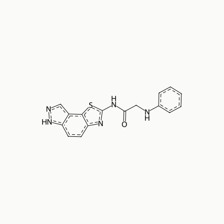 O=C(CNc1ccccc1)Nc1nc2ccc3[nH]ncc3c2s1